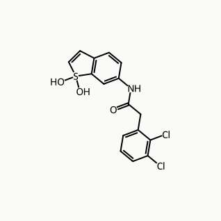 O=C(Cc1cccc(Cl)c1Cl)Nc1ccc2c(c1)S(O)(O)C=C2